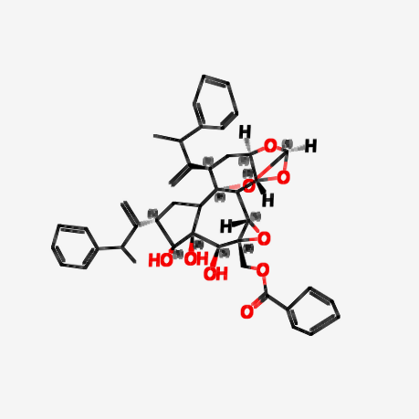 C=C(C(C)c1ccccc1)[C@H]1C[C@H]2O[C@H]3O[C@@H]2C2[C@@H]4O[C@]4(COC(=O)c4ccccc4)[C@@H](O)[C@@]4(O)C(C[C@@H](C(=C)C(C)c5ccccc5)[C@@H]4O)[C@]21O3